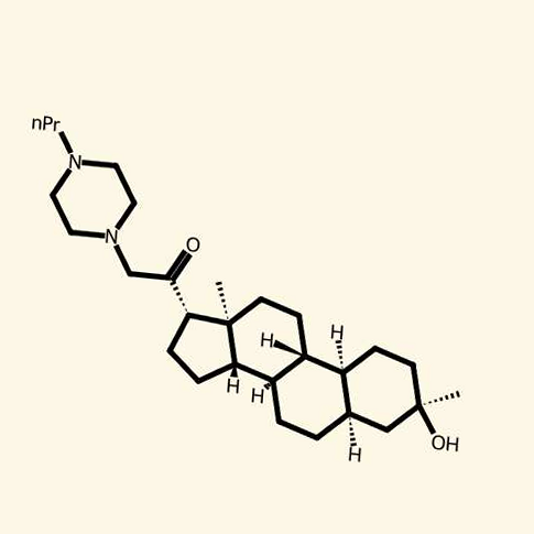 CCCN1CCN(CC(=O)[C@H]2CC[C@H]3[C@@H]4CC[C@@H]5C[C@](C)(O)CC[C@@H]5[C@H]4CC[C@]23C)CC1